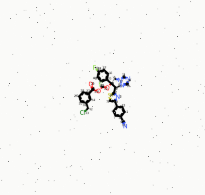 C[C@@H](c1nc(-c2ccc(C#N)cc2)cs1)[C@@](Cn1cncn1)(OCOC(=O)c1cccc(CCl)c1)c1ccc(F)cc1F